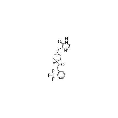 O=C(Cc1ccccc1C(F)(F)F)C1(F)CCN(Cc2ncc[nH]c2=O)CC1